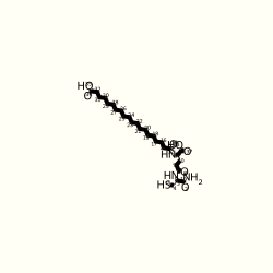 NC(=O)[C@H](CS)NC(=O)CC[C@H](NC(=O)CCCCCCCCCCCCCCCCCCC(=O)O)C(=O)O